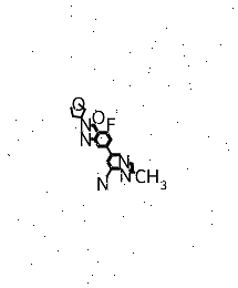 Cc1cn2cc(-c3cc(F)c4c(=O)n([C@@H]5CCOC5)cnc4c3)cc(C#N)c2n1